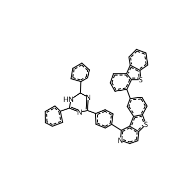 c1ccc(C2=NC(c3ccc(-c4nccc5sc6ccc(-c7cccc8c7sc7ccccc78)cc6c45)cc3)=NC(c3ccccc3)N2)cc1